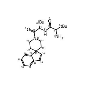 CC[C@H](C)C(NC(=O)C(N)C(C)(C)C)C(=O)N1CCC2(C=Cc3ccccc32)CC1